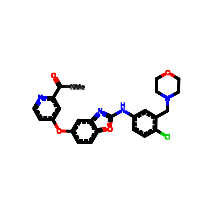 CNC(=O)c1cc(Oc2ccc3oc(Nc4ccc(Cl)c(CN5CCOCC5)c4)nc3c2)ccn1